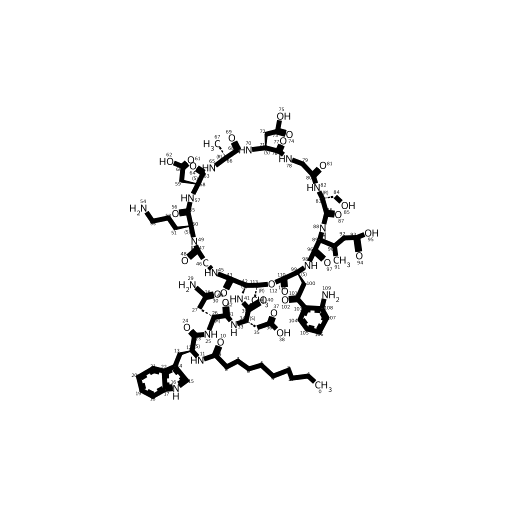 CCCCCCCCCC(=O)N[C@@H](Cc1c[nH]c2ccccc12)C(=O)N[C@H](CC(N)=O)C(=O)N[C@@H](CC(=O)O)C(=O)N[C@@H]1C(=O)NCC(=O)N[C@@H](CCCN)C(=O)N[C@@H](CC(=O)O)C(=O)N[C@H](C)C(=O)N[C@@H](CC(=O)O)C(=O)NCC(=O)N[C@H](CO)C(=O)NC(C(C)CC(=O)O)C(=O)N[C@@H](CC(=O)c2ccccc2N)C(=O)O[C@@H]1C